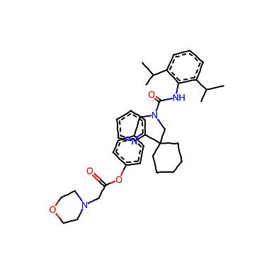 CC(C)c1cccc(C(C)C)c1NC(=O)N(Cc1ccc(OC(=O)CN2CCOCC2)cc1)CC1(c2ccccn2)CCCCC1